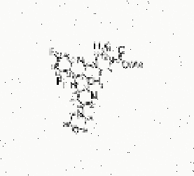 COC(=O)N1CCN(c2nc3cc(F)cc(F)c3c(Nc3cncc(N4CCOCC4)c3)c2C)C[C@@H]1C